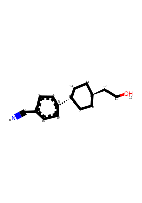 N#Cc1ccc([C@H]2CC[C@H](CCO)CC2)cc1